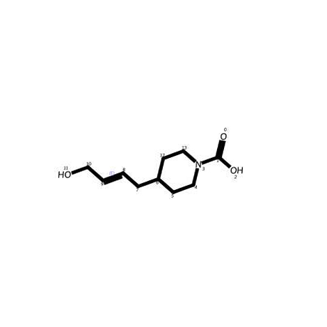 O=C(O)N1CCC(C/C=C/CO)CC1